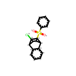 O=S(=O)(c1ccccc1)C1C2CCC(c3ccccc32)C1Cl